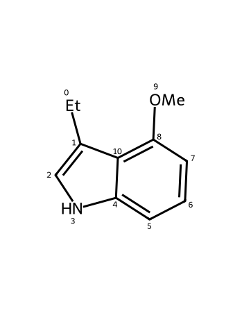 CCc1c[nH]c2cccc(OC)c12